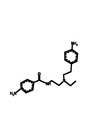 CCN(CCNC(=O)c1ccc(N)cc1)CCc1ccc(N)cc1